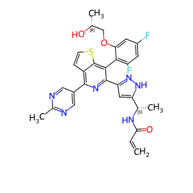 C=CC(=O)N[C@@H](C)c1cc(-c2nc(-c3cnc(C)nc3)c3ccsc3c2-c2c(F)cc(F)cc2OC[C@@H](C)O)n[nH]1